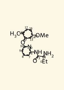 CC[C@@H](N)C(=O)Nc1cccc(Oc2cc(OC)ccc2C)n1